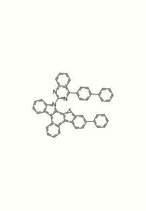 c1ccc(-c2ccc(-c3nc(-n4c5ccccc5c5c6ccccc6c6c7ccc(-c8ccccc8)cc7sc6c54)nc4ccccc34)cc2)cc1